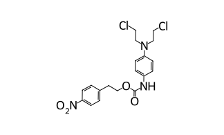 O=C(Nc1ccc(N(CCCl)CCCl)cc1)OCCc1ccc([N+](=O)[O-])cc1